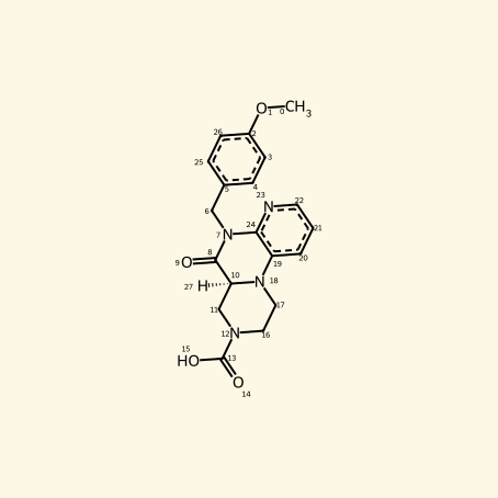 COc1ccc(CN2C(=O)[C@@H]3CN(C(=O)O)CCN3c3cccnc32)cc1